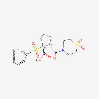 O=C([C@H]1CCC[C@@]1(C(=O)O)S(=O)(=O)c1ccccc1)N1CCS(=O)(=O)CC1